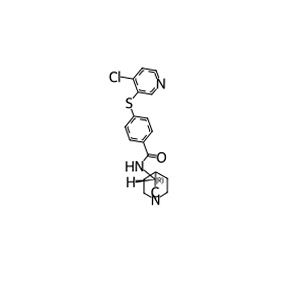 O=C(N[C@H]1CN2CCC1CC2)c1ccc(Sc2cnccc2Cl)cc1